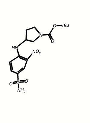 CC(C)(C)OC(=O)N1CCC(Nc2ccc(S(N)(=O)=O)cc2[N+](=O)[O-])C1